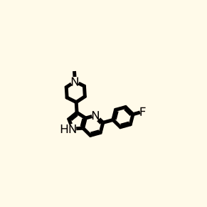 CN1CCC(c2c[nH]c3ccc(-c4ccc(F)cc4)nc23)CC1